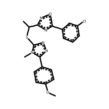 COc1ccc(-c2nnc(SC(C)c3noc(-c4cccc(Cl)c4)n3)n2C)cc1